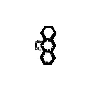 C1=c2cc3ccccc3nc2=CCC1.CCCCCCCCCC